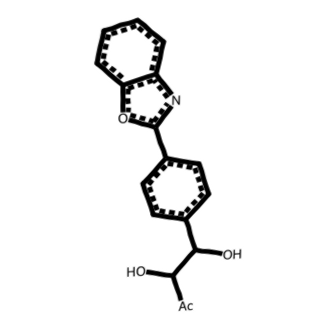 CC(=O)C(O)C(O)c1ccc(-c2nc3ccccc3o2)cc1